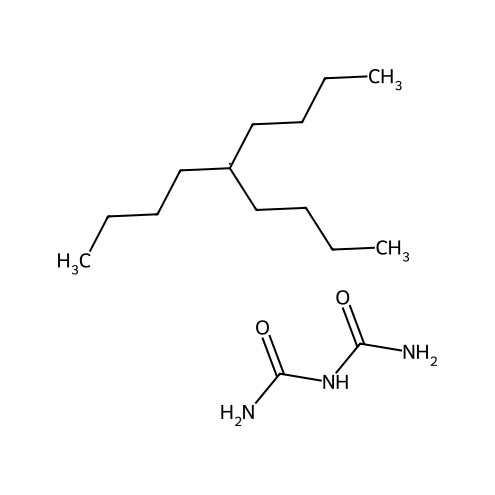 CCCC[C](CCCC)CCCC.NC(=O)NC(N)=O